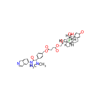 CN(C)C(C(=O)Nc1ccc2cnccc2c1)c1ccc(COC(=O)CCC(=O)OCC(=O)[C@H]2CC[C@H]3[C@@H]4CCC5=CC(=O)C=C[C@]5(C)[C@@]4(F)[C@@H](O)C[C@]23C)cc1